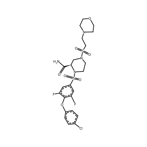 NC(=O)[C@H]1CN(S(=O)(=O)CCN2CCOCC2)CCN1S(=O)(=O)c1cc(F)c(Oc2ccc(Cl)cc2)c(F)c1